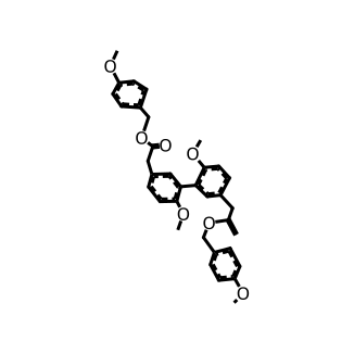 C=C(Cc1ccc(OC)c(-c2cc(CC(=O)OCc3ccc(OC)cc3)ccc2OC)c1)OCc1ccc(OC)cc1